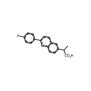 CC(C(=O)O)c1ccc2nc(-c3ccc(F)cc3)ccc2c1